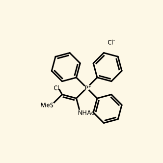 CSC(Cl)=C(NC(C)=O)[P+](c1ccccc1)(c1ccccc1)c1ccccc1.[Cl-]